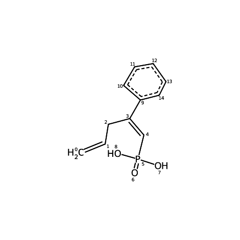 C=CCC(=CP(=O)(O)O)c1ccccc1